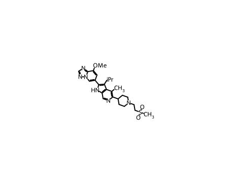 COc1cc(-c2[nH]c3cnc(C4CCN(CCS(C)(=O)=O)CC4)c(C)c3c2C(C)C)cn2ncnc12